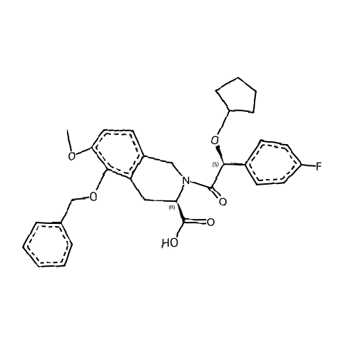 COc1ccc2c(c1OCc1ccccc1)C[C@H](C(=O)O)N(C(=O)[C@@H](OC1CCCC1)c1ccc(F)cc1)C2